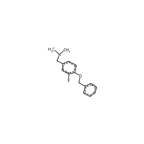 CN(C)Cc1ccc(OCc2ccccc2)c(F)c1